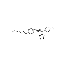 C=CCCCCCc1ccc(C=NN=C(c2ccccc2)C2CCC(CC)CC2)cc1